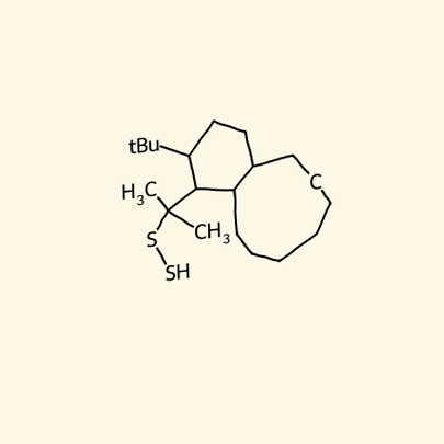 CC(C)(C)C1CCC2CCCCCCCC2C1C(C)(C)SS